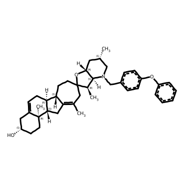 CC1=C2C[C@H]3[C@@H](CC=C4C[C@@H](O)CC[C@@]43C)[C@@H]2CCC2(C1)O[C@@H]1C[C@H](C)CN(Cc3ccc(Oc4ccccc4)cc3)[C@H]1[C@H]2C